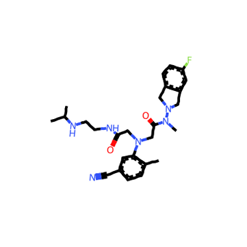 Cc1ccc(C#N)cc1N(CC(=O)NCCNC(C)C)CC(=O)N(C)N1Cc2ccc(F)cc2C1